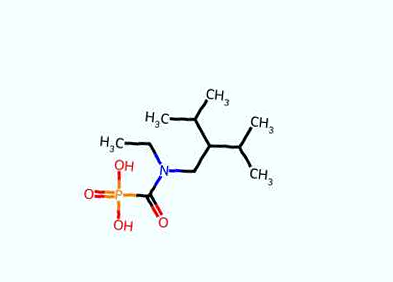 CCN(CC(C(C)C)C(C)C)C(=O)P(=O)(O)O